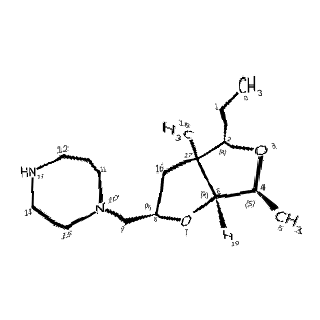 CC[C@H]1O[C@@H](C)[C@@H]2O[C@@H](CN3CCNCC3)CC12C